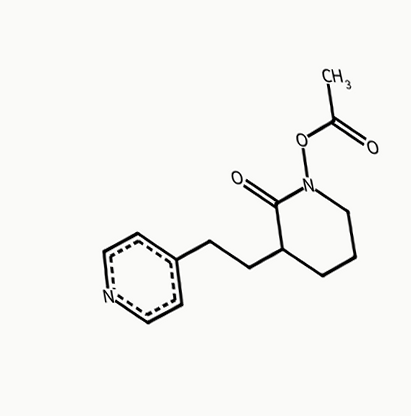 CC(=O)ON1CCCC(CCc2ccncc2)C1=O